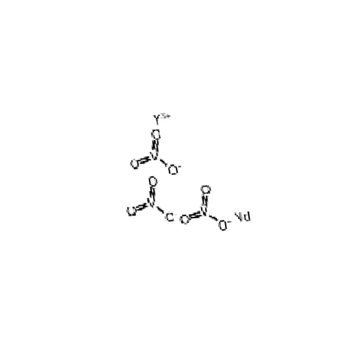 [Nd].[O]=[V](=[O])[O-].[O]=[V](=[O])[O-].[O]=[V](=[O])[O-].[Y+3]